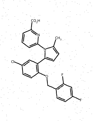 Cc1ccc(-c2cc(Cl)ccc2OCc2ccc(F)cc2F)n1-c1cccc(C(=O)O)n1